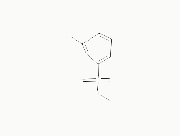 Cc1[c]ccc(S(=O)(=O)NO)c1